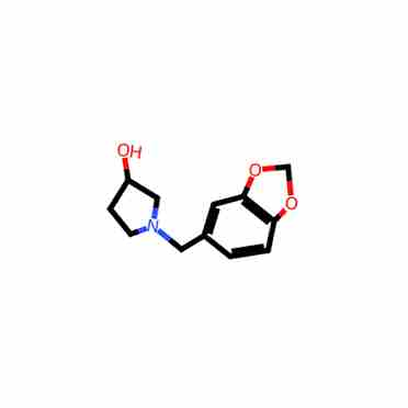 OC1CCN(Cc2ccc3c(c2)OCO3)C1